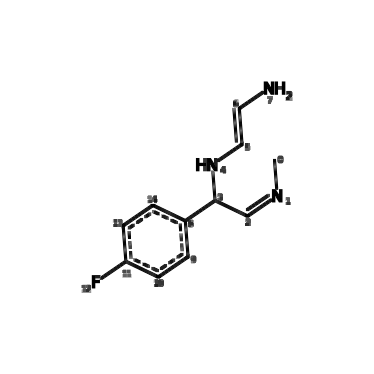 C/N=C\C(N/C=C/N)c1ccc(F)cc1